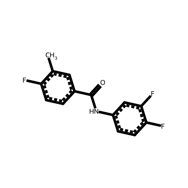 Cc1cc(C(=O)Nc2ccc(F)c(F)c2)ccc1F